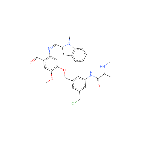 CNC(C)C(=O)Nc1cc(CCl)cc(COc2cc(/N=C\C3Cc4ccccc4N3C)c(C=O)cc2OC)c1